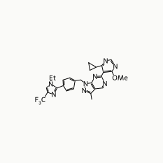 CCn1cc(C(F)(F)F)nc1-c1ccc(Cn2nc(C)c3cnc(-c4c(OC)ncnc4C4CC4)nc32)cc1